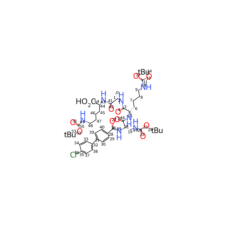 C[C@H](NC(=O)[C@H](CCCCNC(=O)OC(C)(C)C)NC(=O)[C@H](CNC(=O)OC(C)(C)C)NC(=O)c1ccc(-c2ccc(Cl)cc2)cc1)C(=O)N[C@@H](CCCCNC(=O)OC(C)(C)C)C(=O)O